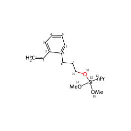 C=Cc1ccccc1CCCO[Si](CCC)(OC)OC